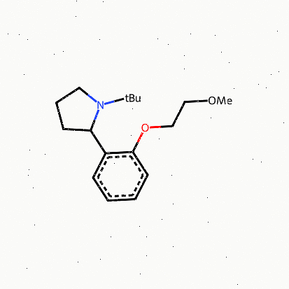 COCCOc1ccccc1C1CCCN1C(C)(C)C